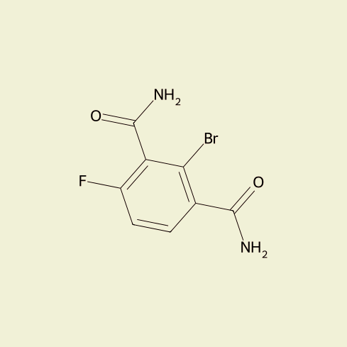 NC(=O)c1ccc(F)c(C(N)=O)c1Br